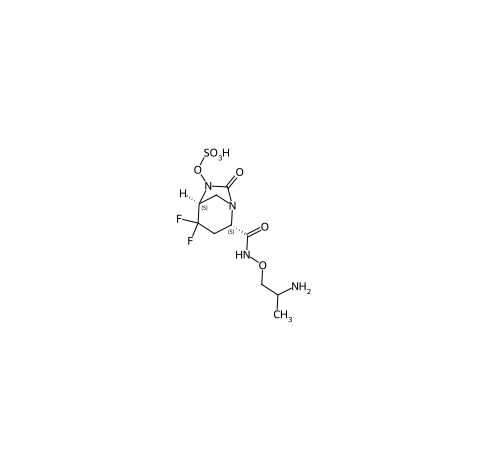 CC(N)CONC(=O)[C@@H]1CC(F)(F)[C@@H]2CN1C(=O)N2OS(=O)(=O)O